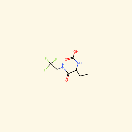 CCC(NC(=O)O)C(=O)NCC(F)(F)F